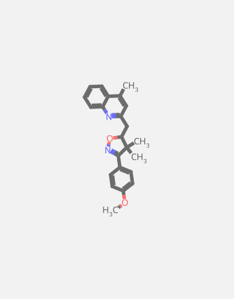 COc1ccc(C2=NOC(Cc3cc(C)c4ccccc4n3)C2(C)C)cc1